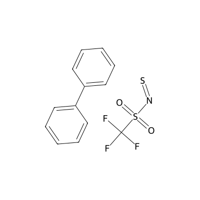 O=S(=O)(N=S)C(F)(F)F.c1ccc(-c2ccccc2)cc1